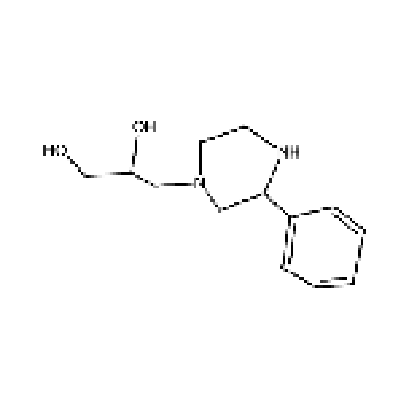 OCC(O)CN1CCNC(c2ccccc2)C1